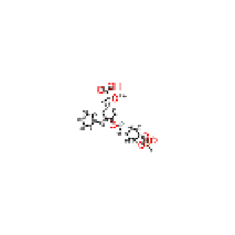 CCO[C@@H](Cc1ccc(OCCc2ccc(OS(C)(=O)=O)cc2)c(Cc2ccccc2)c1)C(=O)O